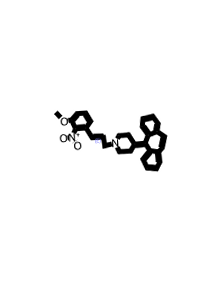 COc1cccc(/C=C/CN2CCC(=C3c4ccccc4C=Cc4ccccc43)CC2)c1[N+](=O)[O-]